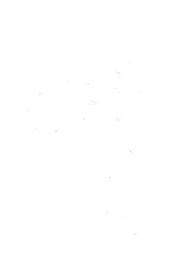 C=CCn1c(C)c(C)c2cc(C(=O)NCc3cccc(Cl)c3)nc(N3CCc4ccccc4C3)c21